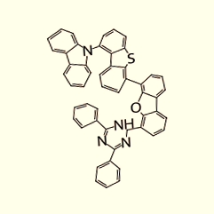 c1ccc(C2=NC(c3cccc4c3oc3c(-c5cccc6c5sc5cccc(-n7c8ccccc8c8ccccc87)c56)cccc34)NC(c3ccccc3)=N2)cc1